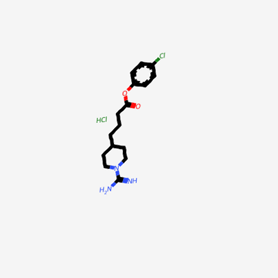 Cl.N=C(N)N1CCC(CCCC(=O)Oc2ccc(Cl)cc2)CC1